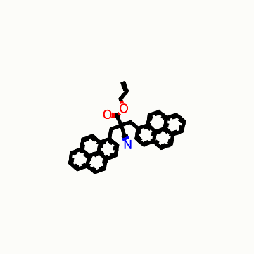 C=CCOC(=O)C(C#N)(Cc1ccc2ccc3cccc4ccc1c2c34)Cc1ccc2ccc3cccc4ccc1c2c34